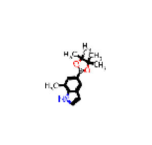 Cc1cc(B2OC(C)(C)C(C)(C)O2)cc2cc[nH]c12